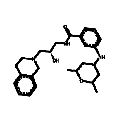 CC1CC(Nc2cccc(C(=O)NC[C@H](O)CN3CCc4ccccc4C3)c2)CC(C)O1